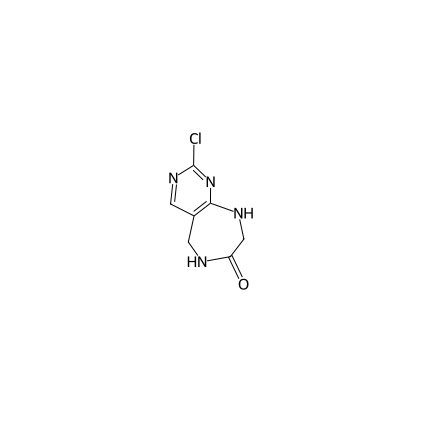 O=C1CNc2nc(Cl)ncc2CN1